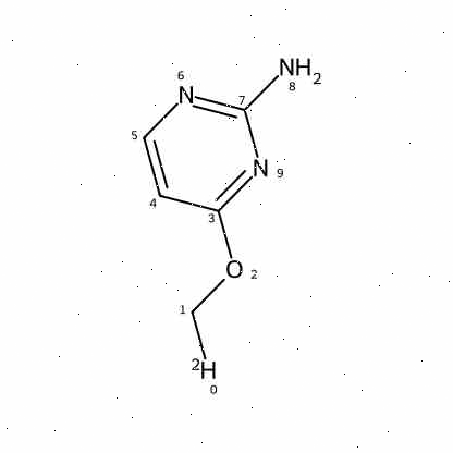 [2H]COc1ccnc(N)n1